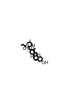 CCC(=O)N1C[C@@H](C)C[C@H]2OC3(CC[C@@H]4C(=C3C)C[C@H]3[C@H]4CC=C4C[C@@H](O)CC[C@@]43C)[C@H](C)[C@@H]21